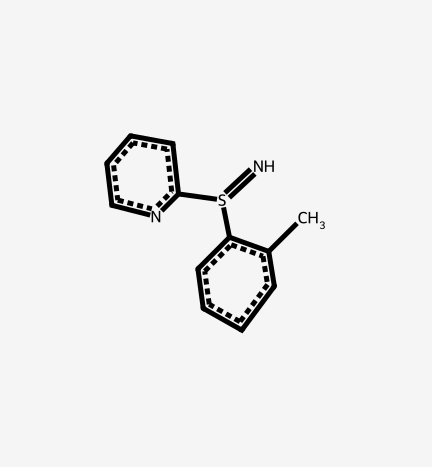 Cc1ccccc1S(=N)c1ccccn1